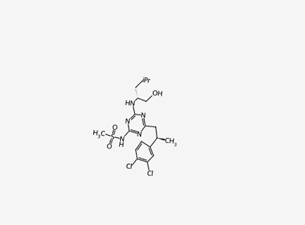 CC(C)C[C@H](CO)Nc1nc(C[C@@H](C)c2ccc(Cl)c(Cl)c2)nc(NS(C)(=O)=O)n1